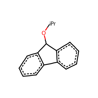 CC(C)OC1c2ccccc2-c2ccccc21